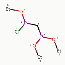 CCOP(Cl)CP(OCC)OCC